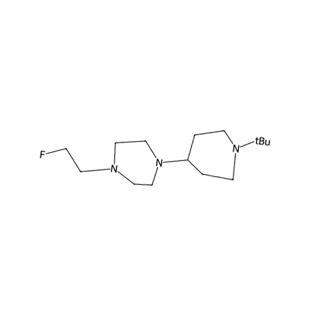 CC(C)(C)N1CCC(N2CCN(CCF)CC2)CC1